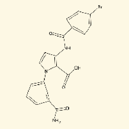 NC(=O)c1cccc(-n2ccc(NC(=O)c3ccc(Br)cc3)c2C(=O)O)c1